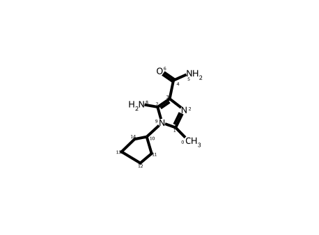 Cc1nc(C(N)=O)c(N)n1C1CCCC1